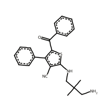 CC(C)(CN)CNc1sc(C(=O)c2ccccc2)c(-c2ccccc2)c1C#N